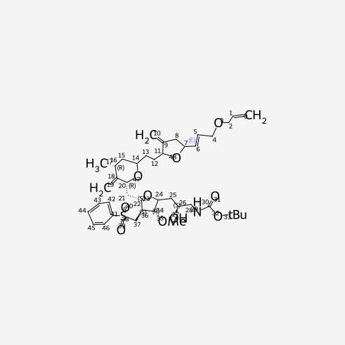 C=CCOC/C=C/C1CC(=C)C(CCC2C[C@@H](C)C(=C)[C@@H](C[C@@H]3OC(C[C@H](O)CNC(=O)OC(C)(C)C)[C@H](OC)[C@H]3CS(=O)(=O)c3ccccc3)O2)O1